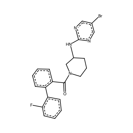 O=C(c1ccccc1-c1ccccc1F)N1CCCC(Nc2ncc(Br)cn2)C1